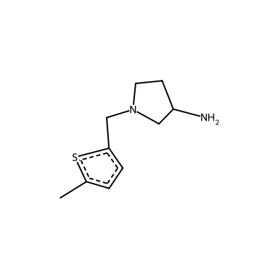 Cc1ccc(CN2CCC(N)C2)s1